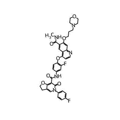 CNC(=O)c1cc2c(Oc3ccc(NC(=O)c4c5c(cn(-c6ccc(F)cc6)c4=O)CCO5)cc3F)ccnc2cc1OCCCN1CCOCC1